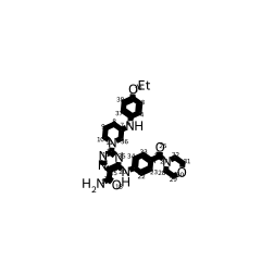 CCOc1ccc(NC2CCCN(c3nnc(C(N)=O)c(Nc4ccc(C(=O)N5CCOCC5)cc4)n3)C2)cc1